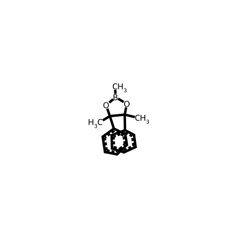 CB1OC(C)(c2ccccc2)C(C)(c2ccccc2)O1